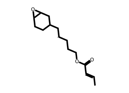 CC=CC(=O)OCCC[CH]CC1CCC2OC2C1